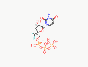 O=c1ccn([C@@H]2O[C@@](COP(=O)(O)OP(=O)(O)OP(=O)(O)O)(C(F)F)C[C@H]2O)c(=O)[nH]1